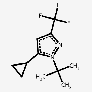 CC(C)(C)n1nc(C(F)(F)F)cc1C1CC1